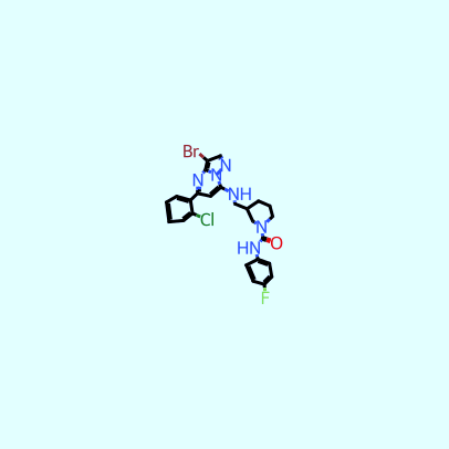 O=C(Nc1ccc(F)cc1)N1CCCC(CNc2cc(-c3ccccc3Cl)nc3c(Br)cnn23)C1